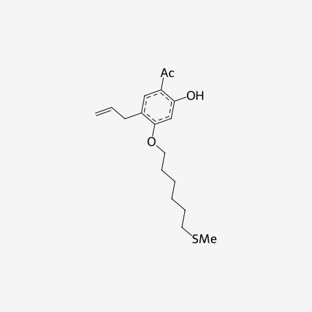 C=CCc1cc(C(C)=O)c(O)cc1OCCCCCCSC